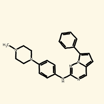 CN1CCN(c2ccc(Nc3ncc4ccc(-c5ccccc5)n4n3)cc2)CC1